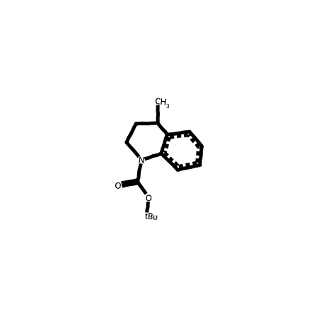 CC1CCN(C(=O)OC(C)(C)C)c2ccccc21